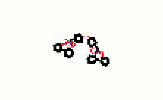 O=P1(Cc2ccc(Oc3ccc(CP4(=O)Oc5ccccc5-c5ccccc54)cc3)cc2)Oc2ccccc2-c2ccccc21